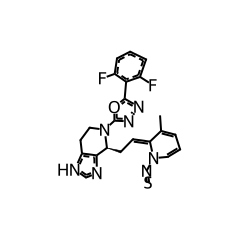 CC1=CC=CN(N=S)/C1=C\C[C@H]1c2nc[nH]c2CCN1c1nnc(-c2c(F)cccc2F)o1